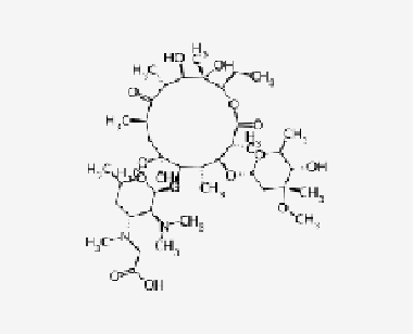 CC[C@H]1OC(=O)[C@H](C)[C@@H](O[C@H]2C[C@@](C)(OC)[C@@H](O)[C@H](C)O2)[C@H](C)[C@@H](O[C@@H]2O[C@H](C)C[C@@H](N(C)CC(=O)O)[C@@H]2N(C)C)[C@@](C)(OC)C[C@@H](C)C(=O)[C@H](C)[C@@H](O)[C@]1(C)O